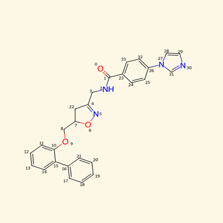 O=C(NCC1=NOC(COc2ccccc2-c2ccccc2)C1)c1ccc(-n2ccnc2)cc1